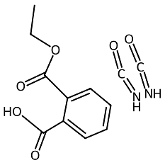 CCOC(=O)c1ccccc1C(=O)O.N=C=O.N=C=O